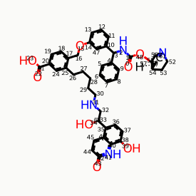 O=C(NC(c1ccccc1)c1cccc(OCc2ccc(C(=O)O)cc2CCCCCNC[C@H](O)c2ccc(O)c3[nH]c(=O)ccc23)c1)O[C@H]1CN2CCC1CC2